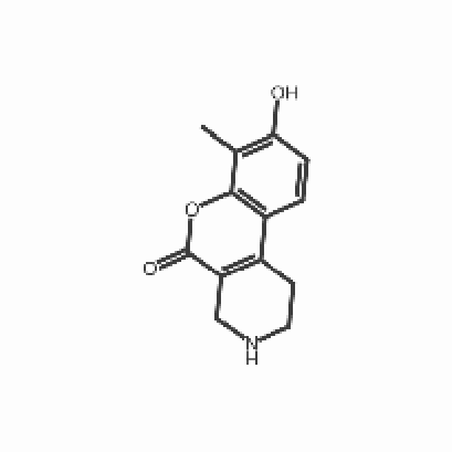 Cc1c(O)ccc2c3c(c(=O)oc12)CNCC3